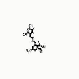 Cc1cc(NCCCc2ccc(C)nc2Cl)c2n[nH]c(=O)n2c1